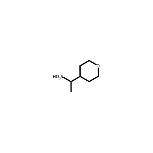 CC(C1CCOCC1)S(=O)(=O)O